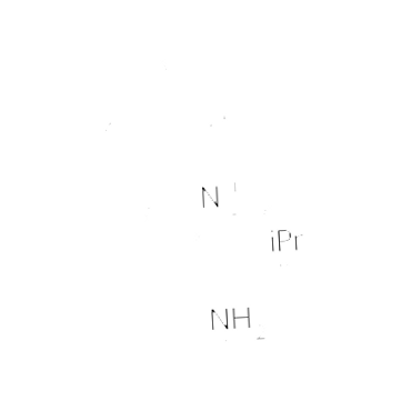 CC(C)N1C2CCC1C(N)C2